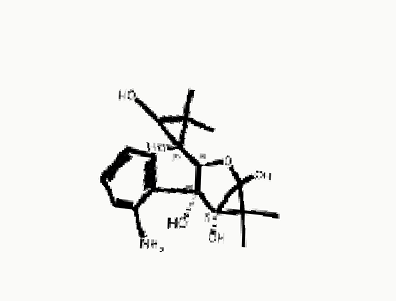 CC1(C)C2(O)O[C@H]([C@]3(O)C(O)C3(C)C)[C@](O)(c3ccccc3N)[C@]12O